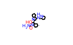 NC(=O)n1c(O)c(-c2cc(NCc3ccccn3)c3ccccc3n2)c2c[c]ccc21